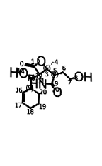 C=C1O[C@@]2(C)[C@@H](CCO)C(=O)NC12[C@H](O)[C@@H]1C=CCCC1